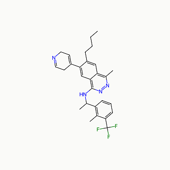 CCCCc1cc2c(C)nnc(NC(C)c3cccc(C(F)(F)F)c3C)c2cc1C1=CCN=CC1